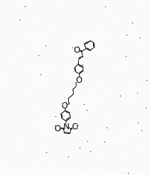 O=C(C=Cc1ccc(OCCCCCCOc2ccc(N3C(=O)C=CC3=O)cc2)cc1)c1ccccc1